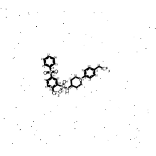 O=S(=O)(NC1CCN(c2ccc(CC(F)(F)F)cc2)CC1)c1cc(S(=O)(=O)c2ccccc2)ccc1C(F)(F)F